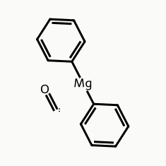 [C]=O.c1cc[c]([Mg][c]2ccccc2)cc1